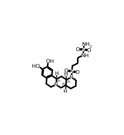 NS(=O)(=O)NCCCS(=O)(=O)N1CCC[C@@H]2CN3CCc4cc(O)c(O)cc4[C@@H]3C[C@@H]21